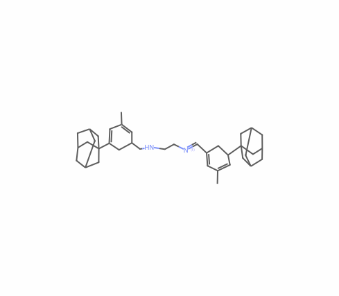 CC1=CC(CNCC/N=C/C2=CC(C)=CC(C34CC5CC(CC(C5)C3)C4)C2)CC(C23CC4CC(CC(C4)C2)C3)=C1